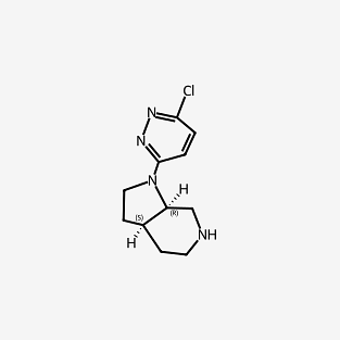 Clc1ccc(N2CC[C@@H]3CCNC[C@@H]32)nn1